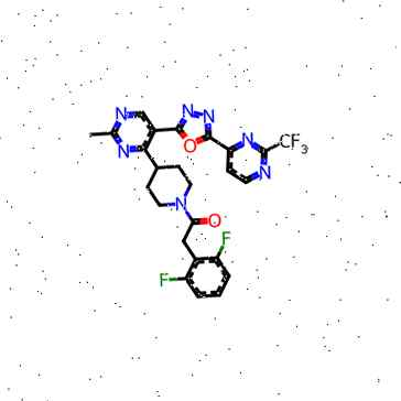 Cc1ncc(-c2nnc(-c3ccnc(C(F)(F)F)n3)o2)c(C2CCN(C(=O)Cc3c(F)cccc3F)CC2)n1